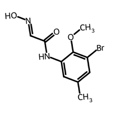 COc1c(Br)cc(C)cc1NC(=O)C=NO